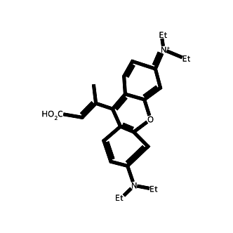 CCN(CC)c1ccc2c(C(C)=CC(=O)O)c3ccc(=[N+](CC)CC)cc-3oc2c1